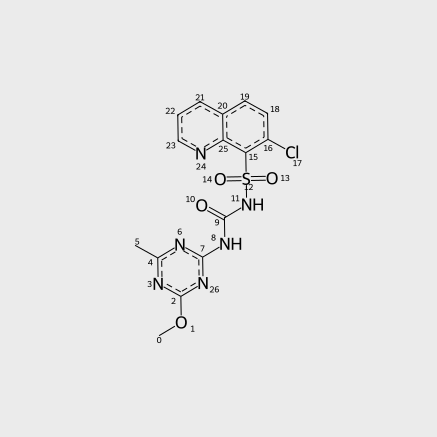 COc1nc(C)nc(NC(=O)NS(=O)(=O)c2c(Cl)ccc3cccnc23)n1